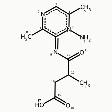 Cc1ncc(C)n(N)c1=NC(=O)C(C)CC(=O)O